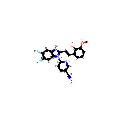 COc1cccc(/C=C/c2nc3cc(F)c(F)cc3n2-c2ccc(C#N)cn2)c1O